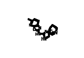 Cc1ccc2nc(NC3=NC4(CN3)CN3CCC4CC3)oc2n1